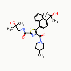 CC1CCN(C(=O)c2nc(C(=O)NCC(C)(C)O)sc2-c2ccc(C(C)(O)C(F)(F)F)c3ccccc23)CC1